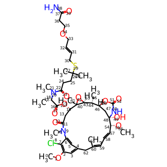 COc1cc2cc(c1Cl)N(C)C(=O)C[C@H](OC(=O)[C@H](C)N(C)C(=O)CCC(C)(C)SC/C=C/COCCC(N)=O)[C@]1(C)O[C@H]1[C@H](C)[C@@H]1C[C@@](O)(NC(=O)O1)[C@H](OC)/C=C/C=C(\C)C2